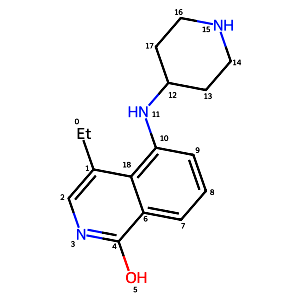 CCc1cnc(O)c2cccc(NC3CCNCC3)c12